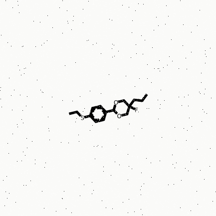 CCCC1(F)COC(c2ccc(SCC)cc2)OC1